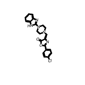 O=C1OC(c2ccc(Cl)cc2)=NC1=CN1CCN(c2nc3ccccc3[nH]2)CC1